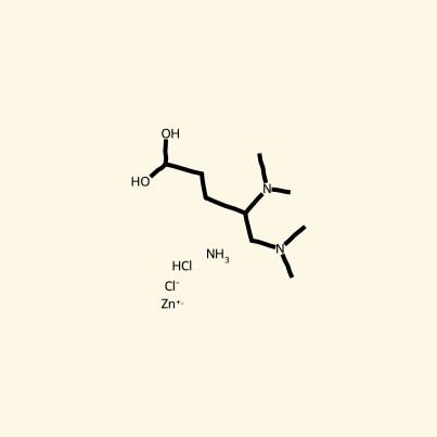 CN(C)CC(CCC(O)O)N(C)C.Cl.N.[Cl-].[Zn+]